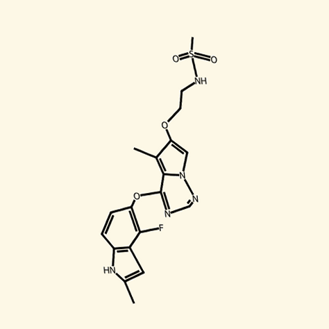 Cc1cc2c(F)c(Oc3ncnn4cc(OCCNS(C)(=O)=O)c(C)c34)ccc2[nH]1